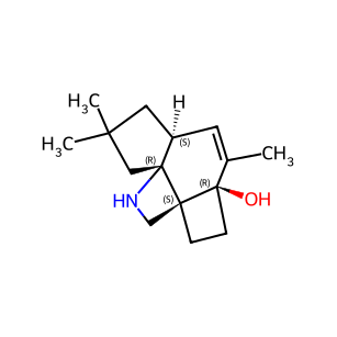 CC1=C[C@@H]2CC(C)(C)C[C@@]23NC[C@@]32CC[C@@]12O